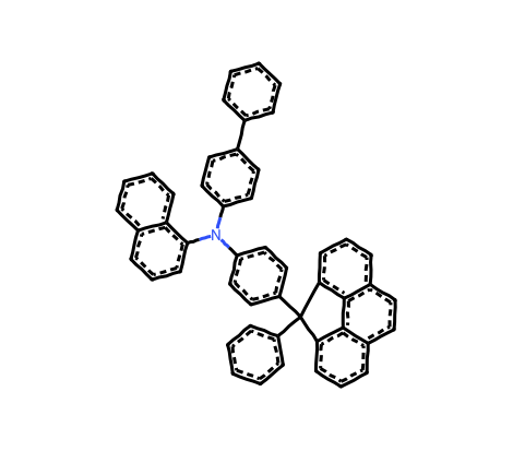 c1ccc(-c2ccc(N(c3ccc(C4(c5ccccc5)c5cccc6ccc7cccc4c7c56)cc3)c3cccc4ccccc34)cc2)cc1